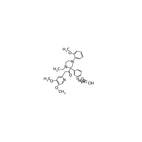 CCN1CCN(c2ccccc2OC)CC1(C(=O)Cc1cc(OC)c(OC)cn1)c1ccccc1.Cl.Cl.O.O